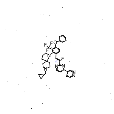 F/C(=C\c1ccc(Oc2ccccc2)c(C(F)(F)F)c1N1CCCC2(CCN(CC3CC3)CC2)C1)c1nccc(-c2ccnnc2)n1